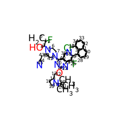 C=C(F)C(O)N1CCN(c2nc(OCC3CCN3C(C)(C)C)nc3c(F)c(-c4cccc5cccc(Cl)c45)ncc23)C[C@@H]1CC#N